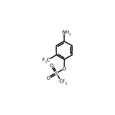 Nc1ccc(OS(=O)(=O)C(F)(F)F)c(C(F)(F)F)c1